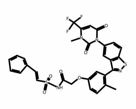 Cc1ccc(OCC(=O)NS(=O)(=O)C=Cc2ccccc2)cc1-c1nsc2ccc(-n3c(=O)cc(C(F)(F)F)n(C)c3=O)cc12